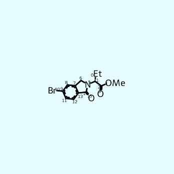 CC[C@@H](C(=O)OC)N1Cc2cc(Br)ccc2C1=O